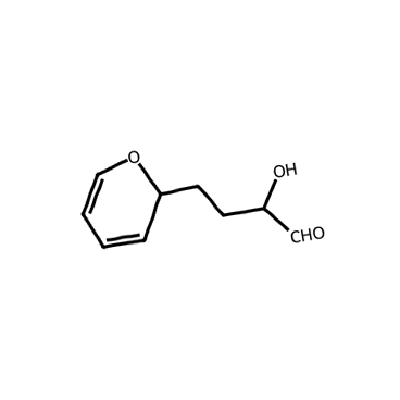 O=CC(O)CCC1C=CC=CO1